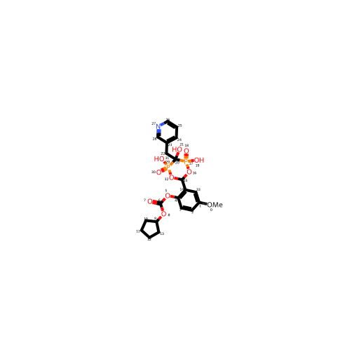 COc1ccc(OC(=O)OC2CCCC2)c(C2OP(=O)(O)C(O)(Cc3cccnc3)P(=O)(O)O2)c1